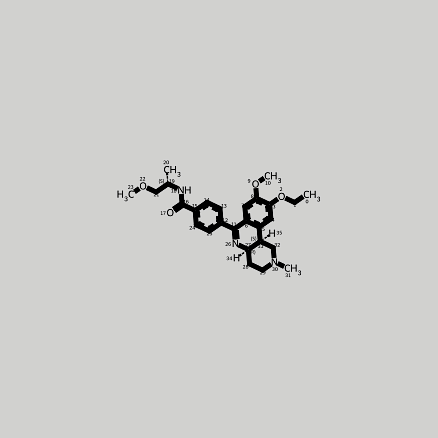 CCOc1cc2c(cc1OC)C(c1ccc(C(=O)N[C@@H](C)COC)cc1)=N[C@@H]1CCN(C)C[C@H]21